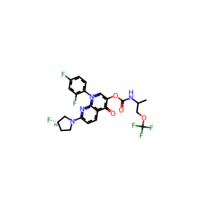 CC(COC(F)(F)F)NC(=O)Oc1cn(-c2ccc(F)cc2F)c2nc(N3CC[C@H](F)C3)ccc2c1=O